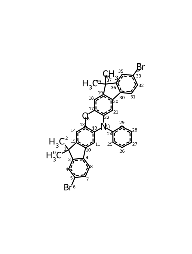 CC1(C)c2cc(Br)ccc2-c2cc3c(cc21)Oc1cc2c(cc1N3c1ccccc1)-c1ccc(Br)cc1C2(C)C